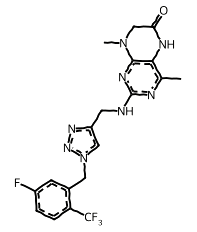 Cc1nc(NCc2cn(Cc3cc(F)ccc3C(F)(F)F)nn2)nc2c1NC(=O)CN2C